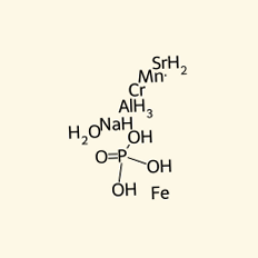 O.O=P(O)(O)O.[AlH3].[Cr].[Fe].[Mn].[NaH].[SrH2]